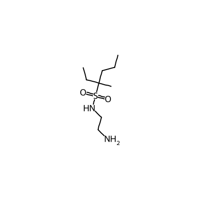 CCCC(C)(CC)S(=O)(=O)NCCN